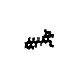 CCCc1cc(NNC(=O)Nc2c(C)cccc2C)nc2c1c(C)nn2C